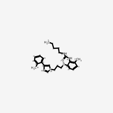 CCCCCNC(=O)Nc1c(C)cccc1OCCCn1cnc(-c2ccccc2C)c1